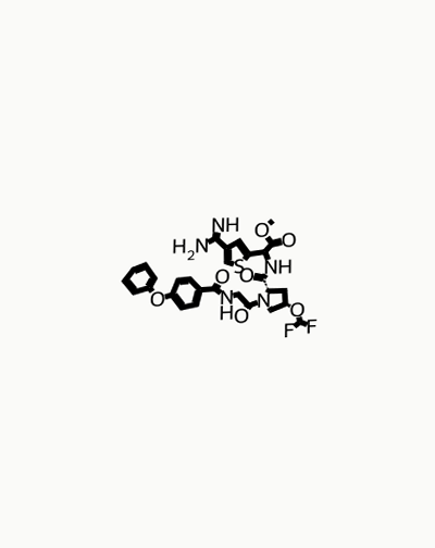 COC(=O)C(NC(=O)[C@@H]1C[C@@H](OC(F)F)CN1C(=O)CNC(=O)c1ccc(Oc2ccccc2)cc1)c1cc(C(=N)N)cs1